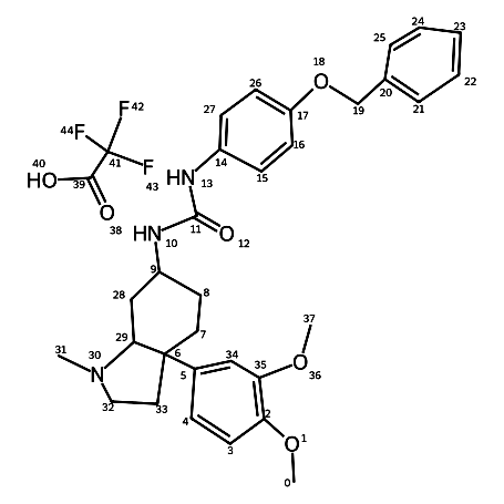 COc1ccc(C23CCC(NC(=O)Nc4ccc(OCc5ccccc5)cc4)CC2N(C)CC3)cc1OC.O=C(O)C(F)(F)F